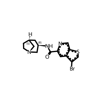 O=C(N[C@@H]1C[C@@H]2CCN(C2)C1)c1cc2c(Br)csc2cn1